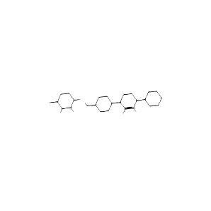 FC1=C(F)C(C2CCC(COC3CCC(I)C(F)C3F)CC2)CCC1C1CCCCC1